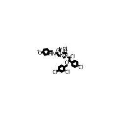 COc1ccc(CNC(=O)CN2C=CN(C(Cl)C(OCc3ccc(Cl)cc3Cl)c3ccc(Cl)cc3)C2)cc1.Cl.O